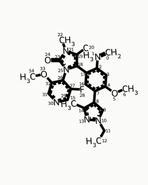 C=Nc1cc(OC)c(-c2cn(CC)nc2C)cc1-c1c(C)n(C)c(=O)n1-c1c(F)cncc1OC